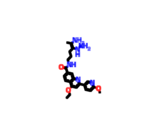 CCOc1cc(-c2ccc(OC)nc2)nc2cc(C(=O)NCCC/C(NN)=C(\C)N)ccc12